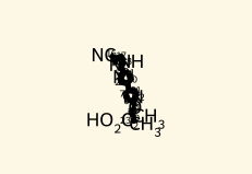 CC(C)(COc1ccc(-c2ccc(-c3nc(C#N)c[nH]3)nc2)cn1)C(=O)O